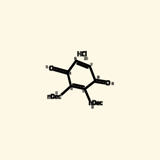 CCCCCCCCCCC1=C(CCCCCCCCCC)C(=O)C=CC1=O.Cl